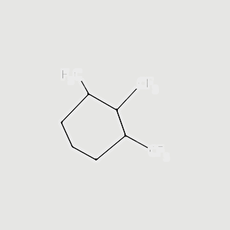 FC(F)(F)C1CCCC(C(F)(F)F)C1C(F)(F)F